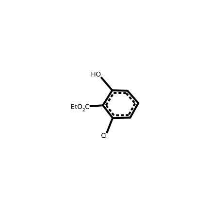 CCOC(=O)c1c(O)cccc1Cl